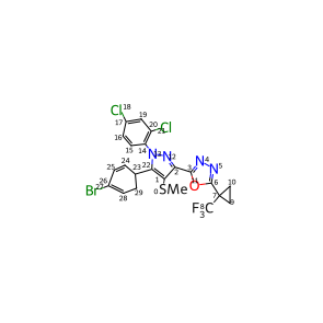 CSc1c(-c2nnc(C3(C(F)(F)F)CC3)o2)nn(-c2ccc(Cl)cc2Cl)c1C1C=CC(Br)=CC1